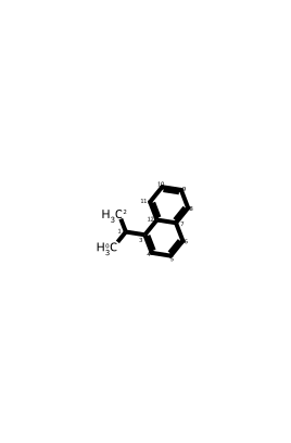 CC(C)c1cc[c]c2ccccc12